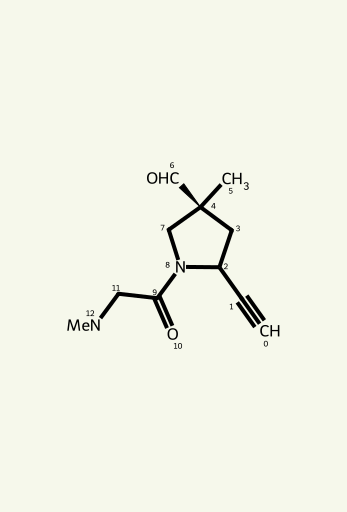 C#CC1C[C@](C)(C=O)CN1C(=O)CNC